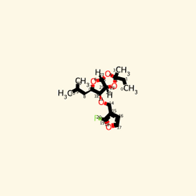 CCC1(C)O[C@H]2O[C@H](CC(C)C)[C@H](OCc3ccoc3F)[C@H]2O1